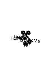 COc1ccc(-n2nnnc2C(F)(F)F)cc1CN1CC(C(c2ccccc2)c2ccccc2)N2CCN(C(=O)C(C)(C)O)C[C@H]2C1.Cl.Cl